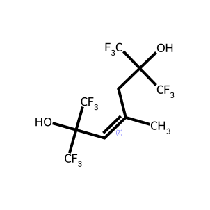 C/C(=C/C(O)(C(F)(F)F)C(F)(F)F)CC(O)(C(F)(F)F)C(F)(F)F